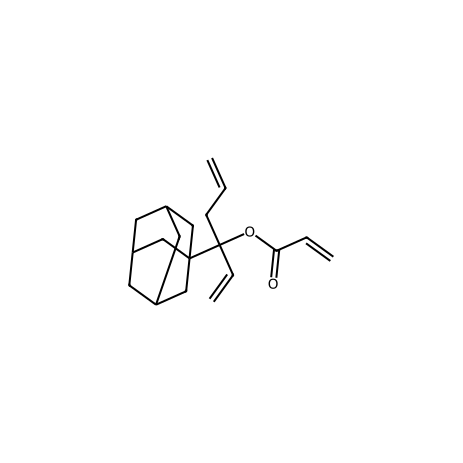 C=CCC(C=C)(OC(=O)C=C)C12CC3CC(CC(C3)C1)C2